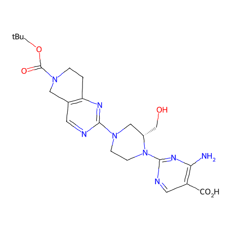 CC(C)(C)OC(=O)N1CCc2nc(N3CCN(c4ncc(C(=O)O)c(N)n4)[C@@H](CO)C3)ncc2C1